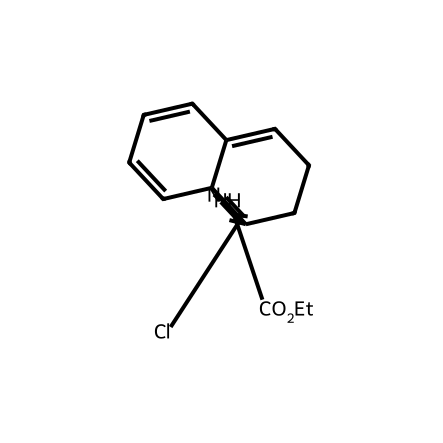 CCOC(=O)C1=C2CCC=C3C=CC=CC32NN=C1Cl